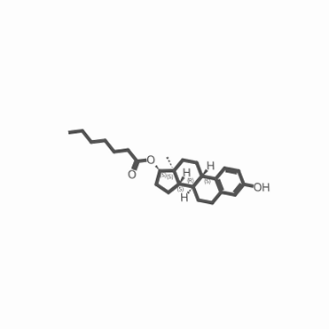 CCCCCCC(=O)O[C@H]1CC[C@H]2[C@@H]3CCc4cc(O)ccc4[C@H]3CC[C@]12C